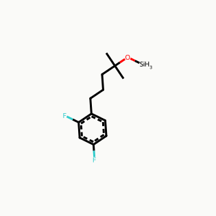 CC(C)(CCCc1ccc(F)cc1F)O[SiH3]